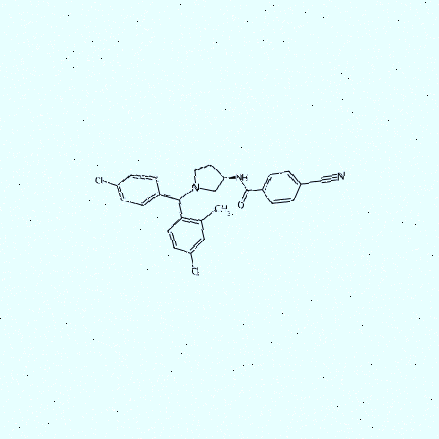 Cc1cc(Cl)ccc1C(c1ccc(Cl)cc1)N1CC[C@@H](NC(=O)c2ccc(C#N)cc2)C1